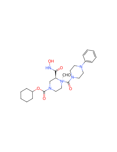 O=C[N@+]1(C(=O)N2CCN(c3ccccc3)CC2)CCN(C(=O)OC2CCCCC2)C[C@H]1C(=O)NO